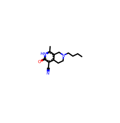 CCCCN1CCc2c(c(C)[nH]c(=O)c2C#N)C1